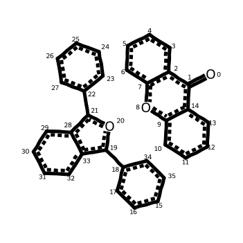 O=c1c2ccccc2oc2ccccc12.c1ccc(-c2oc(-c3ccccc3)c3ccccc23)cc1